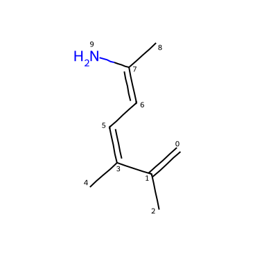 C=C(C)/C(C)=C\C=C(\C)N